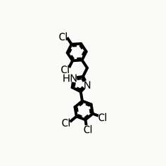 Clc1ccc(Cc2nc(-c3cc(Cl)c(Cl)c(Cl)c3)c[nH]2)c(Cl)c1